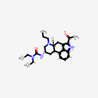 CCCN1C[C@@H](NC(=O)N(CC)CC)CC2c3cccc4[nH]c(C(C)=O)c(c34)C[C@H]21